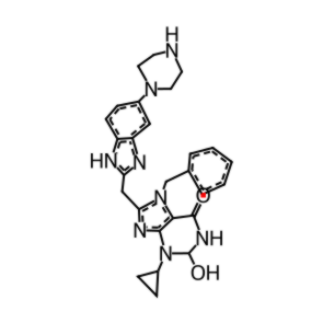 O=C1NC(O)N(C2CC2)c2nc(Cc3nc4cc(N5CCNCC5)ccc4[nH]3)n(Cc3ccccc3)c21